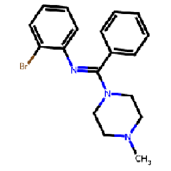 CN1CCN(C(=Nc2ccccc2Br)c2ccccc2)CC1